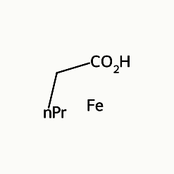 CCCCC(=O)O.[Fe]